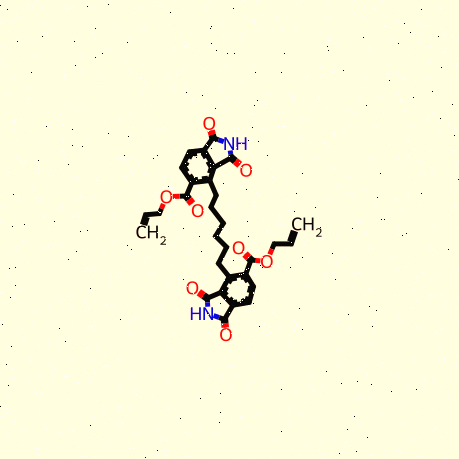 C=CCOC(=O)c1ccc2c(c1CCCCCCc1c(C(=O)OCC=C)ccc3c1C(=O)NC3=O)C(=O)NC2=O